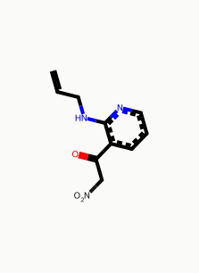 C=CCNc1ncccc1C(=O)C[N+](=O)[O-]